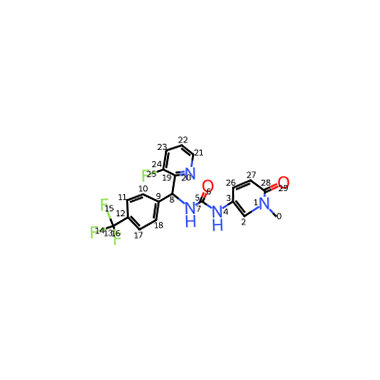 Cn1cc(NC(=O)NC(c2ccc(C(F)(F)F)cc2)c2ncccc2F)ccc1=O